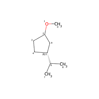 COC1CC[C@@H](C(C)C)C1